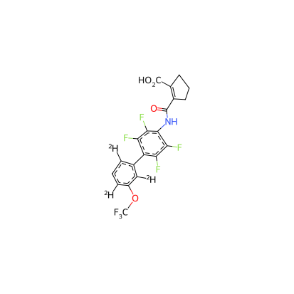 [2H]c1cc([2H])c(-c2c(F)c(F)c(NC(=O)C3=C(C(=O)O)CCC3)c(F)c2F)c([2H])c1OC(F)(F)F